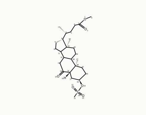 COC(=O)CC[C@@H](C)[C@H]1CCC2C3CC(=O)[C@H]4C[C@H](OS(C)(=O)=O)CC[C@]4(C)C3CC[C@@]21C